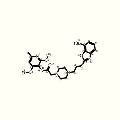 CCSc1cc(C)nc(SCC)c1NC(=O)CN1CCN(CCSc2nc3cccc(C(C)(C)C)c3o2)CC1